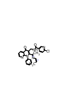 C/C=C\N=C(/C)c1c(CNC(=O)c2ccc(Cl)nc2)c(=O)c2cccnc2n1-c1ccccc1